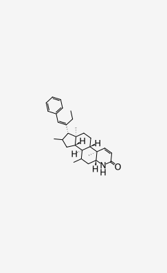 CC/C(=C\c1ccccc1)[C@H]1C(C)C[C@H]2[C@@H]3C(C)C[C@H]4NC(=O)C=C[C@]4(C)[C@H]3CC[C@]12C